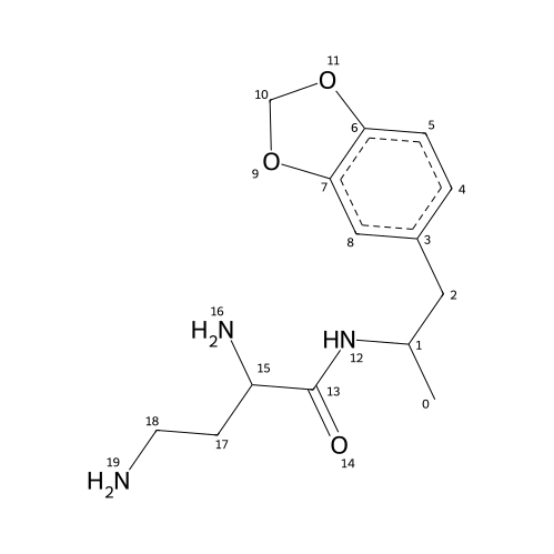 CC(Cc1ccc2c(c1)OCO2)NC(=O)C(N)CCN